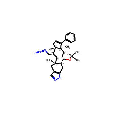 CC(C)(C)[Si](C)(C)OC[C@H]1Cc2[nH]ncc2C[C@]1(C)[C@H]1CC[C@]2(C)C(c3ccccc3)=CC[C@H]2[C@@H]1CN=[N+]=[N-]